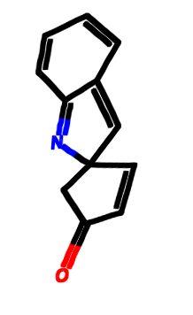 O=C1C=CC2(C=c3ccccc3=N2)C1